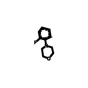 Fc1ccc[c]c1N1CCOCC1